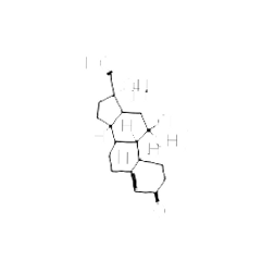 C#C[C@]1(O)CC[C@H]2[C@@H]3CCC4=CC(=O)CC[C@@H]4[C@H]3C(C)(C)C[C@@]21CC